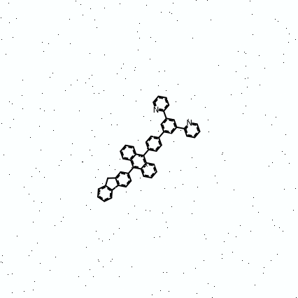 c1ccc(-c2cc(-c3ccc(-c4c5ccccc5c(-c5ccc6c(c5)Cc5ccccc5-6)c5ccccc45)cc3)cc(-c3ccccn3)c2)nc1